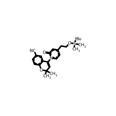 CC1(C)C=C(n2ccc(CCO[Si](C)(C)C(C)(C)C)cc2=O)c2cc(C#N)ccc2O1